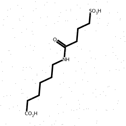 O=C(O)CCCCCNC(=O)CCCS(=O)(=O)O